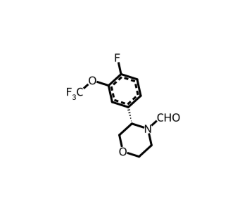 O=CN1CCOC[C@@H]1c1ccc(F)c(OC(F)(F)F)c1